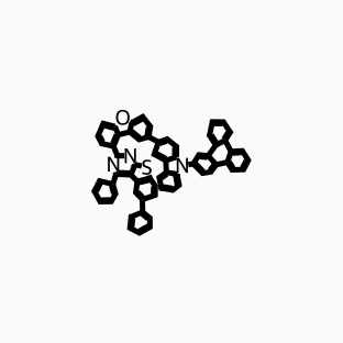 c1ccc(-c2ccc3sc4nc(-c5cccc6oc7ccc(-c8ccc9c(c8)c8ccccc8n9-c8ccc9c%10ccccc%10c%10ccccc%10c9c8)cc7c56)nc(-c5ccccc5)c4c3c2)cc1